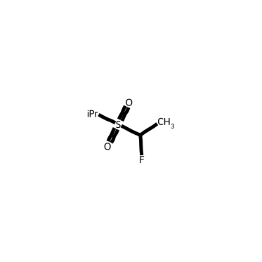 CC(C)S(=O)(=O)C(C)F